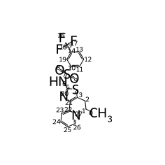 CCCc1sc(NS(=O)(=O)c2cccc(C(F)(F)F)c2)nc1-c1ccccn1